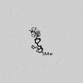 CSc1cnc2c(c1)cc(-c1ccc(S(=O)(=O)NC(C)(C)C(F)(F)F)cc1)n2C1CCC1